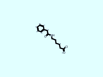 O=C(Cl)CCCCCNC(=O)Cc1ccccc1